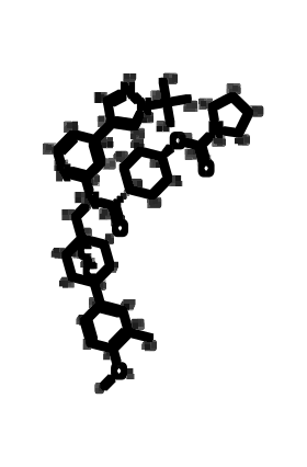 COc1ccc(C23CCC(CN(c4cc(-c5cnn(C(C)(C)C)c5)ccn4)C(=O)[C@H]4CC[C@H](OC(=O)N5CCCC5)CC4)(CC2)CC3)cc1C